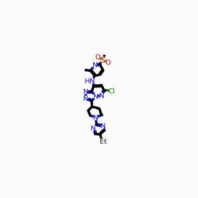 CCc1cnc(N2CCC(c3nnc4c(Nc5ccc(S(C)(=O)=O)nc5C)cc(Cl)nn34)CC2)nc1